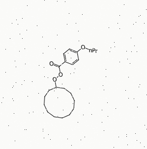 CCCOc1ccc(C(=O)OO[C]2CCCCCCCCCCC2)cc1